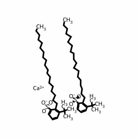 CCCCCCCCCCCCCCCCCCCc1c(C(C)(C)C)cccc1S(=O)(=O)[O-].CCCCCCCCCCCCCCCCCCCc1c(C(C)(C)C)cccc1S(=O)(=O)[O-].[Ca+2]